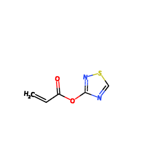 C=CC(=O)Oc1ncsn1